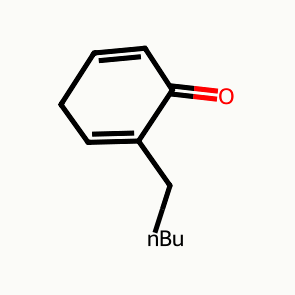 CCCCCC1=CCC=CC1=O